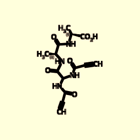 C#CC(=O)NC(NC(=O)C#C)C(=O)N[C@@H](C)C(=O)N[C@@H](C)C(=O)O